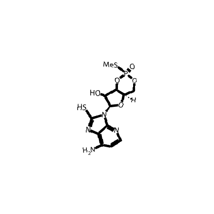 CSP1(=O)OC[C@H]2O[C@@H](n3c(S)nc4c(N)ccnc43)C(O)C2O1